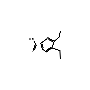 CCc1cccnc1CC.NC=O